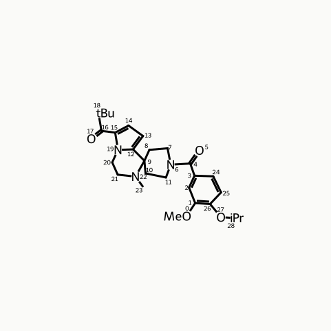 COc1cc(C(=O)N2CCC3(CC2)c2ccc(C(=O)C(C)(C)C)n2CCN3C)ccc1OC(C)C